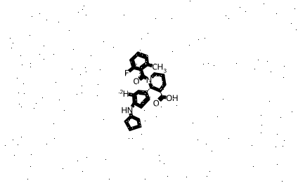 [2H]c1cc([C@H]2[C@@H](C(=O)O)CCCN2C(=O)c2c(C)cccc2F)ccc1NC1CCCC1